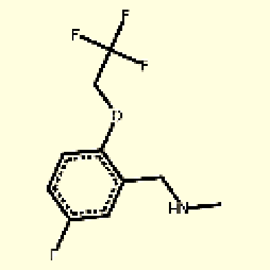 CNCc1cc(F)ccc1OCC(F)(F)F